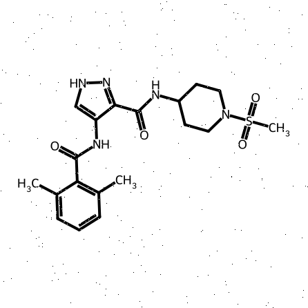 Cc1cccc(C)c1C(=O)Nc1c[nH]nc1C(=O)NC1CCN(S(C)(=O)=O)CC1